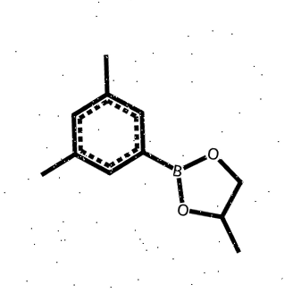 Cc1cc(C)cc(B2OCC(C)O2)c1